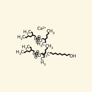 CCCCC(CC)COP(=O)([O-])OCC(CC)CCCC.CCCCC(CC)COP(=O)([O-])OCC(CC)CCCC.CCCCCCCCCCO.[Ca+2]